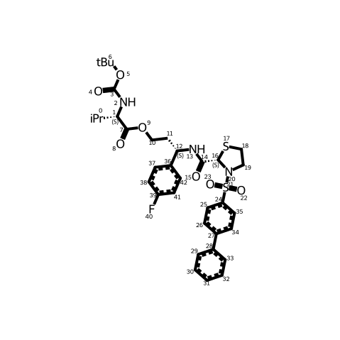 CC(C)[C@H](NC(=O)OC(C)(C)C)C(=O)OCC[C@H](NC(=O)[C@@H]1SCCN1S(=O)(=O)c1ccc(-c2ccccc2)cc1)c1ccc(F)cc1